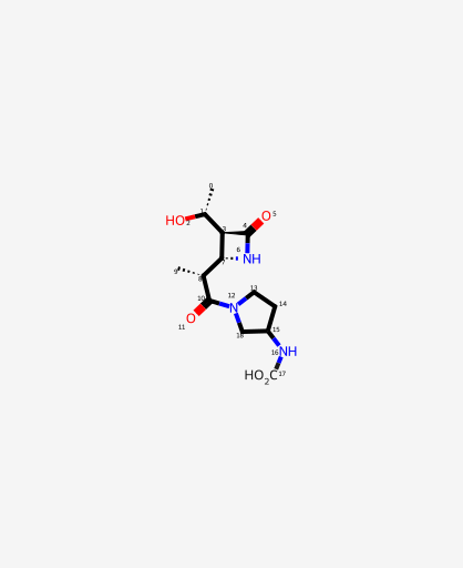 C[C@@H](O)[C@H]1C(=O)N[C@@H]1[C@@H](C)C(=O)N1CCC(NC(=O)O)C1